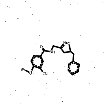 CC(C)Oc1ccc(C(=O)NCC2=NOC(Cc3ccccc3)C2)cc1C#N